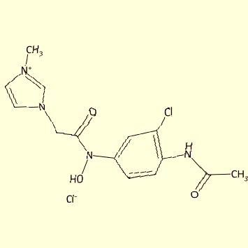 CC(=O)Nc1ccc(N(O)C(=O)Cn2cc[n+](C)c2)cc1Cl.[Cl-]